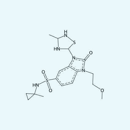 COCCn1c(=O)n(C2NC(C)NS2)c2cc(S(=O)(=O)NC3(C)CC3)ccc21